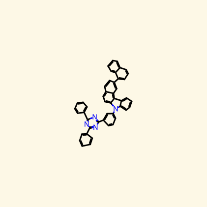 c1ccc(-c2nc(-c3ccccc3)nc(-c3cccc(-n4c5ccccc5c5c6cc(-c7cccc8ccccc78)ccc6ccc54)c3)n2)cc1